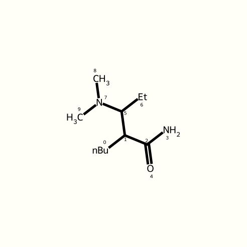 CCCCC(C(N)=O)C(CC)N(C)C